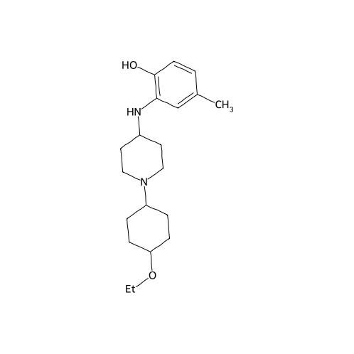 CCOC1CCC(N2CCC(Nc3cc(C)ccc3O)CC2)CC1